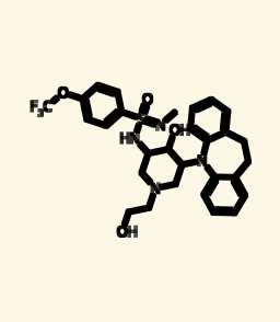 CN=S(=O)(NC1CN(CCO)CC(N2c3ccccc3CCc3ccccc32)C1O)c1ccc(OC(F)(F)F)cc1